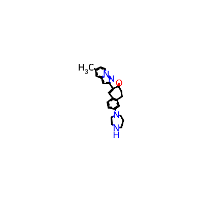 Cc1ccn2nc(C3=Cc4ccc(N5CCCNCC5)cc4CCC3=O)cc2c1